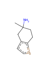 CC1(N)CCc2sccc2C1